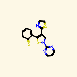 S=C1CC=CC=C1C1=C(c2nccs2)[CH]N(c2ncccn2)S1